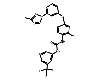 Cc1ncn(-c2cc(Oc3ccc(NC(=O)Nc4cncc(C(F)(F)F)c4)c(F)c3)ccn2)n1